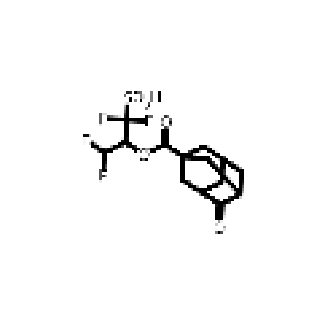 O=C1C2CC3CC1CC(C(=O)OC(C(F)F)C(F)(F)S(=O)(=O)O)(C3)C2